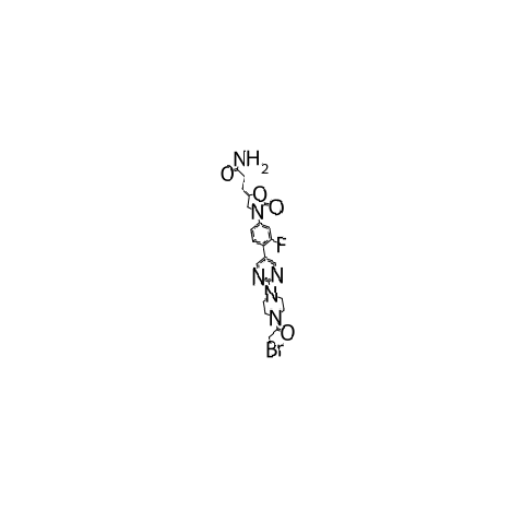 NC(=O)CCC1CN(c2ccc(-c3cnc(N4CCN(C(=O)CBr)CC4)nc3)c(F)c2)C(=O)O1